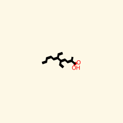 C=C\C=C/C=C(C=C)/C(C=C)=C/C=C(\C)C(=O)O